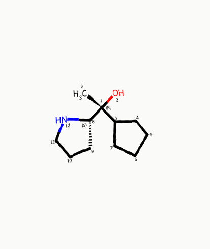 C[C@@](O)(C1CCCC1)[C@@H]1CCCN1